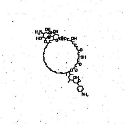 CC1/C=C/C=C/C=C/C=C/C=C/C=C/C=C/C(OC2O[C@H](C)[C@@H](O)[C@H](N)[C@@H]2O)CC2OC(O)(CCCC(O)CCCC(=O)CC(O)CC(=O)CC(=O)OC1C(C)CC(C)C(O)CC(=O)c1ccc(N)cc1)CC(O)C2C(=O)O